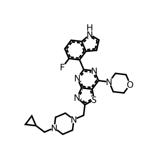 Fc1ccc2[nH]ccc2c1-c1nc(N2CCOCC2)c2sc(CN3CCN(CC4CC4)CC3)nc2n1